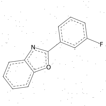 Fc1[c]c(-c2nc3ccccc3o2)ccc1